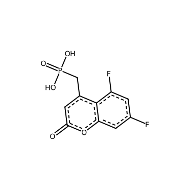 O=c1cc(CP(=O)(O)O)c2c(F)cc(F)cc2o1